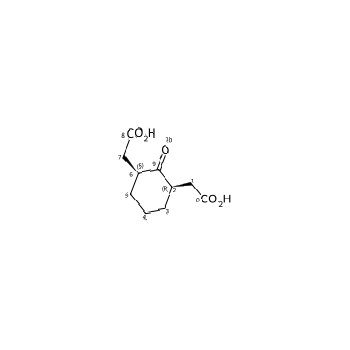 O=C(O)C[C@H]1CCC[C@@H](CC(=O)O)C1=O